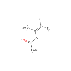 CCC(C)=C(CC(=O)OC)C(=O)O